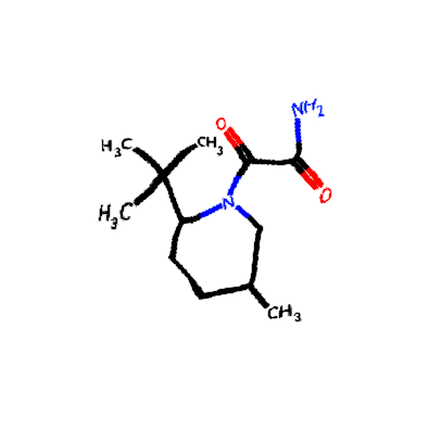 CC1CCC(C(C)(C)C)N(C(=O)C(N)=O)C1